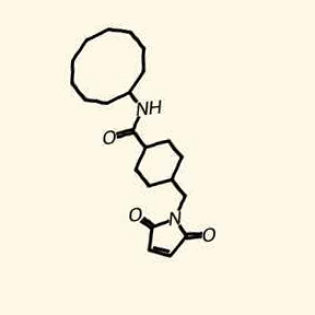 O=C(NC1CCCCCCCCC1)C1CCC(CN2C(=O)C=CC2=O)CC1